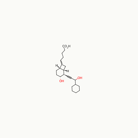 O=C(O)CCC/C=C1\C[C@@H]2[C@@H](C#CC(O)C3CCCCC3)[C@H](O)CC[C@H]12